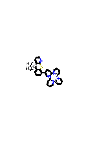 C[Si]1(C)c2cccnc2Sc2c(C3=CN4B5C=CC=CN5B5C=CC=CN5B5C=CC=CN5B4C=C3)cccc21